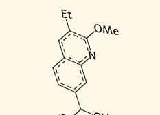 CCc1cc2ccc(C(O)C(C)C)cc2nc1OC